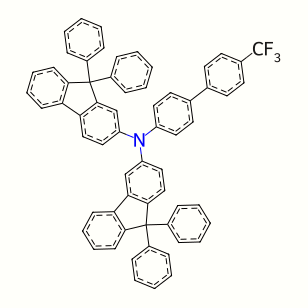 FC(F)(F)c1ccc(-c2ccc(N(c3ccc4c(c3)-c3ccccc3C4(c3ccccc3)c3ccccc3)c3ccc4c(c3)C(c3ccccc3)(c3ccccc3)c3ccccc3-4)cc2)cc1